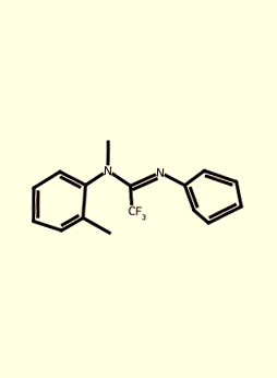 Cc1ccccc1N(C)/C(=N/c1ccccc1)C(F)(F)F